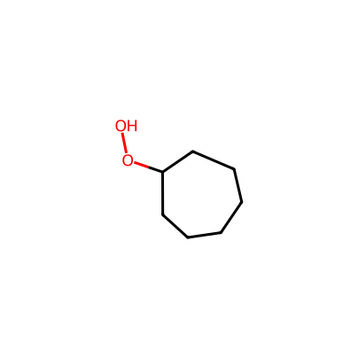 OOC1CCCCCC1